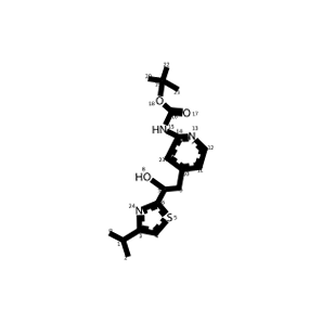 CC(C)c1csc(C(O)Cc2ccnc(NC(=O)OC(C)(C)C)c2)n1